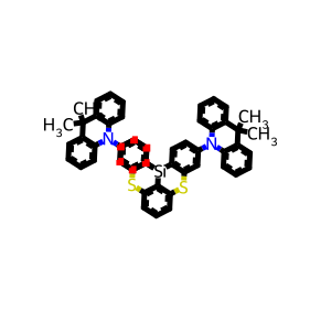 CC1(C)c2ccccc2N(c2ccc3c(c2)Sc2cccc4c2[Si]3(c2ccccc2)c2ccc(N3c5ccccc5C(C)(C)c5ccccc53)cc2S4)c2ccccc21